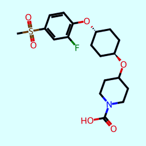 CS(=O)(=O)c1ccc(O[C@H]2CC[C@H](OC3CCN(C(=O)O)CC3)CC2)c(F)c1